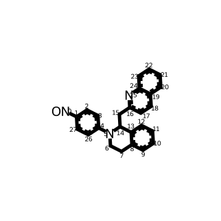 O=Nc1ccc(N2CCc3ccccc3C2Cc2ccc3ccccc3n2)cc1